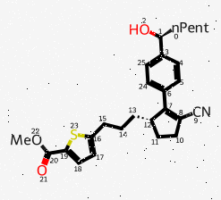 CCCCC[C@H](O)c1ccc(C2=C(C#N)CC[C@@H]2CCCc2ccc(C(=O)OC)s2)cc1